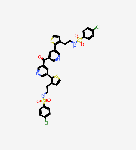 O=C(c1cncc(-c2sccc2CCNS(=O)(=O)c2ccc(Cl)cc2)c1)c1cncc(-c2sccc2CCNS(=O)(=O)c2ccc(Cl)cc2)c1